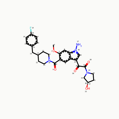 COc1cc2c(cc1C(=O)N1CCC(Cc3ccc(F)cc3)CC1)c(C(=O)C(=O)N1CC[C@@H](O)C1)cn2N